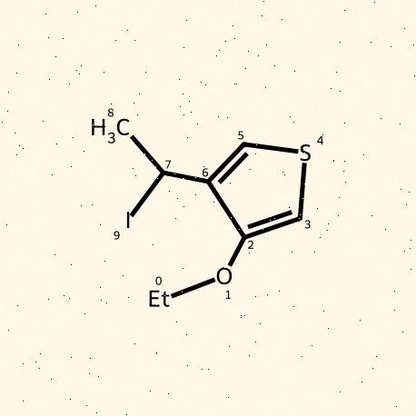 CCOc1cscc1C(C)I